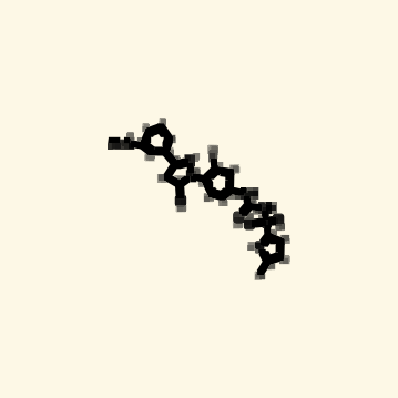 CNc1cccc(C2=NN(c3ccc(NC(=O)NS(=O)(=O)c4ccc(C)s4)cc3F)C(=O)C2)c1